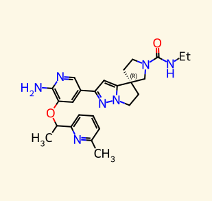 CCNC(=O)N1CC[C@@]2(CCn3nc(-c4cnc(N)c(OC(C)c5cccc(C)n5)c4)cc32)C1